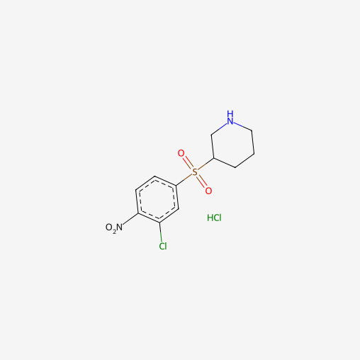 Cl.O=[N+]([O-])c1ccc(S(=O)(=O)C2CCCNC2)cc1Cl